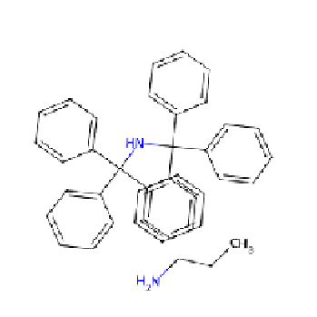 CCCN.c1ccc(C(NC(c2ccccc2)(c2ccccc2)c2ccccc2)(c2ccccc2)c2ccccc2)cc1